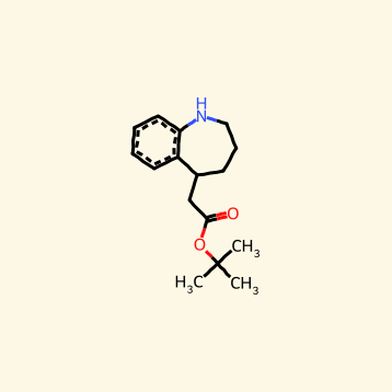 CC(C)(C)OC(=O)CC1CCCNc2ccccc21